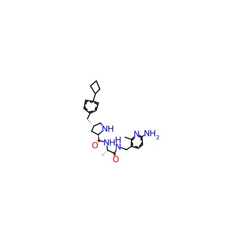 Cc1nc(N)ccc1CNC(=O)[C@H](C)NC(=O)[C@H]1C[C@H](Cc2ccc(C3CCC3)cc2)CN1